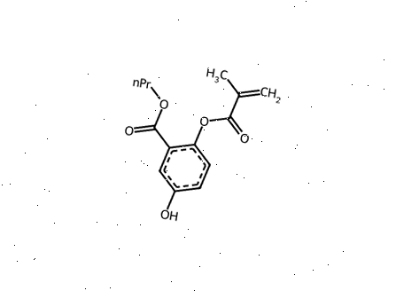 C=C(C)C(=O)Oc1ccc(O)cc1C(=O)OCCC